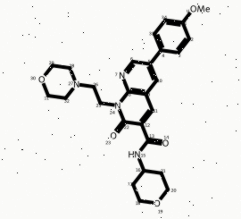 COc1ccc(-c2cnc3c(c2)cc(C(=O)NC2CCOCC2)c(=O)n3CCN2CCOCC2)cc1